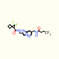 O=C(CCC(F)(F)F)NCc1cnn2cc(CNC(=O)C3C(F)(F)C34CCC4)nc2c1